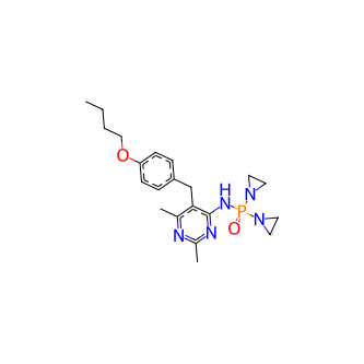 CCCCOc1ccc(Cc2c(C)nc(C)nc2NP(=O)(N2CC2)N2CC2)cc1